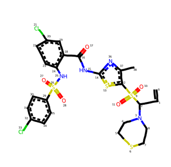 C=CC(N1CCSCC1)S(=O)(=O)c1sc(NC(=O)c2cc(Cl)ccc2NS(=O)(=O)c2ccc(Cl)cc2)nc1C